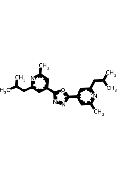 Cc1cc(-c2nnc(-c3cc(C)nc(CC(C)C)c3)o2)cc(CC(C)C)n1